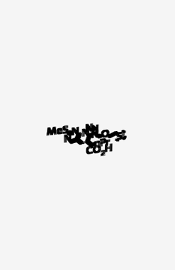 CCCC(C(=O)O)[C@H](Cc1cnc(SC)nc1)c1nnnn1COCC[Si](C)(C)C